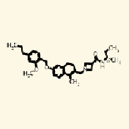 CCCc1ccc(COc2ccc3c(c2)CCC(CN2CC(C(=O)N[C@@H](C)CC)C2)=C3C)c(OC)c1